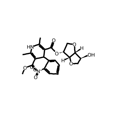 COC(=O)C1=C(C)NC(C)=C(C(=O)O[C@@H]2CO[C@H]3[C@@H]2OC[C@@H]3O)C1c1ccccc1[N+](=O)[O-]